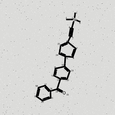 C[Si](C)(C)C#Cc1ccc(-c2ccc(C(=O)c3ccccc3)cc2)cc1